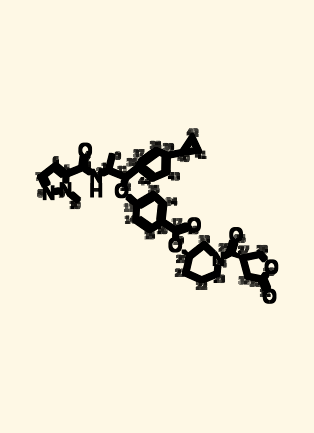 CC(NC(=O)c1ccnn1C)C(Oc1ccc(C(=O)O[C@H]2CCCN(C(=O)[C@H]3COC(=O)C3)C2)cc1)c1ccc(C2CC2)cc1